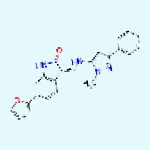 Cn1nc(-c2ccccc2)cc1NC=C1C(=O)Nc2cc(-c3ccco3)ccc21